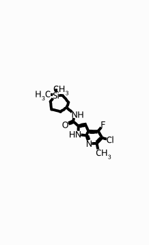 Cc1nc2[nH]c(C(=O)NC3CCC[Si](C)(C)CC3)cc2c(F)c1Cl